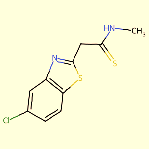 CNC(=S)Cc1nc2cc(Cl)ccc2s1